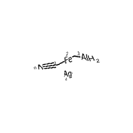 N#[C][Fe][AlH2].[Ag]